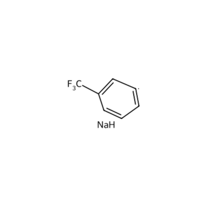 FC(F)(F)c1c[c]ccc1.[NaH]